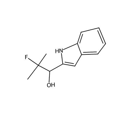 CC(C)(F)C(O)c1cc2ccccc2[nH]1